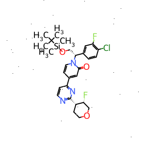 CC(C)(C)[Si](C)(C)OC[C@H](c1ccc(Cl)c(F)c1)n1ccc(-c2ccnc([C@H]3CCOC[C@H]3F)n2)cc1=O